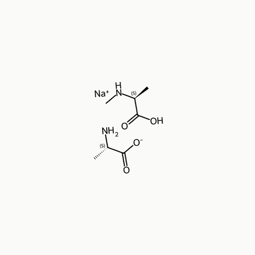 CN[C@@H](C)C(=O)O.C[C@H](N)C(=O)[O-].[Na+]